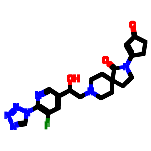 O=C1C=C(N2CCC3(CCN(CC(O)c4cnc(-n5cnnn5)c(F)c4)CC3)C2=O)CC1